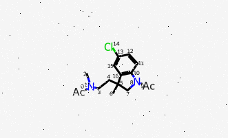 CC(=O)N(C)CCC1(C)CN(C(C)=O)c2ccc(Cl)cc21